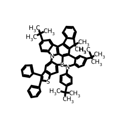 CC(C)(C)c1ccc(N2B3c4cc5sc(-c6ccccc6)c(-c6ccccc6)c5cc4-n4c5ccc(C(C)(C)C)cc5c5c6c(c(c3c54)-c3cc(C(C)(C)C)ccc32)C(C)(C)c2ccccc2-6)cc1